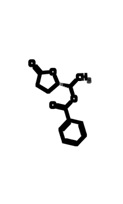 CC(OC(=O)c1ccccc1)[C@@H]1CCC(=O)O1